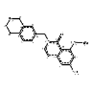 CCCCNc1nc(N)nc2ccn(Cc3ccc4c(c3)CNCC4)c(=O)c12